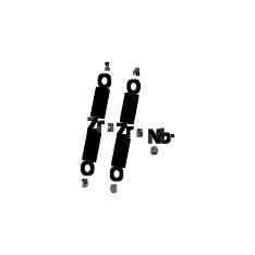 [Nb].[O]=[Zr]=[O].[O]=[Zr]=[O]